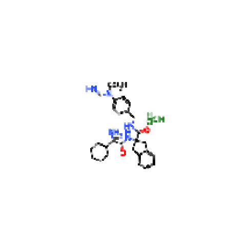 Cl.Cl.N=CN(C(=O)O)c1ccc(CNC(=O)C2(NC(=O)[C@H](N)C3CCCCC3)Cc3ccccc3C2)cc1